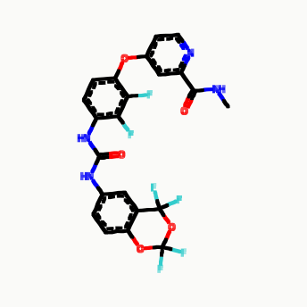 CNC(=O)c1cc(Oc2ccc(NC(=O)Nc3ccc4c(c3)C(F)(F)OC(F)(F)O4)c(F)c2F)ccn1